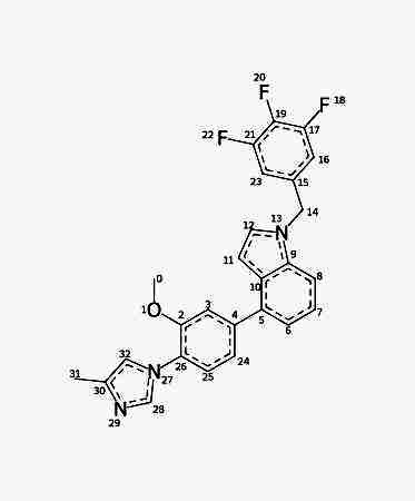 COc1cc(-c2cccc3c2ccn3Cc2cc(F)c(F)c(F)c2)ccc1-n1cnc(C)c1